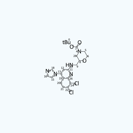 CC(C)(C)OC(=O)N1CCOC(CNc2cc(-n3ccnc3)c3ccc(Cl)c(Cl)c3n2)C1